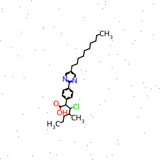 CCCCCCCCCCc1cnc(-c2ccc(C(C(=O)O)C(Cl)C(C)CCC)cc2)nc1